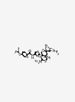 CC[C@]1(C)C[C@H]2CSC(N)=N[C@@]2(c2nc(NC(=O)c3ccc(OC(F)F)cn3)cs2)CO1